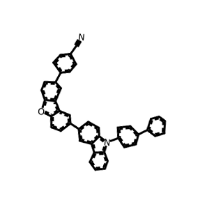 N#Cc1ccc(-c2ccc3oc4ccc(-c5ccc6c(c5)c5ccccc5n6-c5ccc(-c6ccccc6)cc5)cc4c3c2)cc1